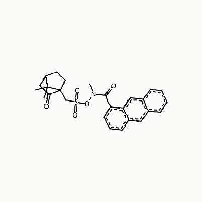 CN(OS(=O)(=O)CC12CCC(CC1=O)C2(C)C)C(=O)c1cccc2cc3ccccc3cc12